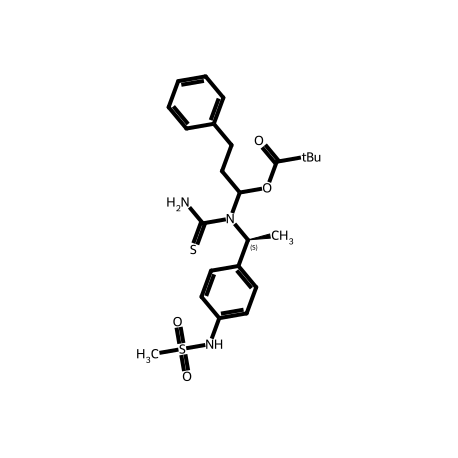 C[C@@H](c1ccc(NS(C)(=O)=O)cc1)N(C(N)=S)C(CCc1ccccc1)OC(=O)C(C)(C)C